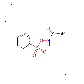 CCCC(=O)NOS(=O)(=O)c1ccccc1